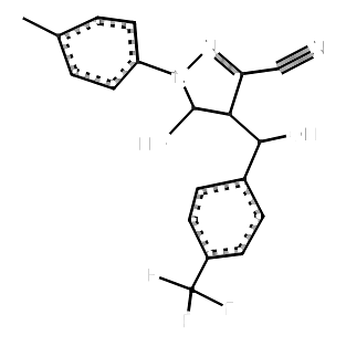 Cc1ccc(N2N=C(C#N)C(C(O)c3ccc(C(F)(F)F)cc3)C2O)cc1